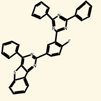 Fc1ccc(-c2nc(-c3ccccc3)c3sc4ccccc4c3n2)cc1-c1nc(-c2ccccc2)nc(-c2ccccc2)n1